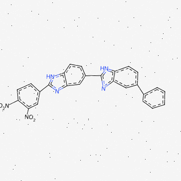 O=[N+]([O-])c1ccc(-c2nc3cc(-c4nc5cc(-c6ccccc6)ccc5[nH]4)ccc3[nH]2)cc1[N+](=O)[O-]